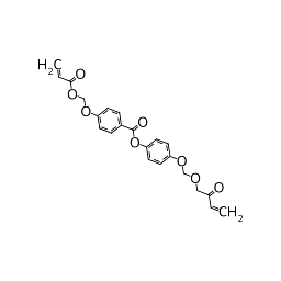 C=CC(=O)COCOc1ccc(OC(=O)c2ccc(OCOC(=O)C=C)cc2)cc1